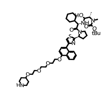 C[C@@H](C(O)N[C@H](C(=O)N1CCC[C@H]1c1nc(-c2ccc(OCCOCCOCCOC3CCNCC3)c3ccccc23)cs1)C1CCCCC1)N(C)C(=O)OC(C)(C)C